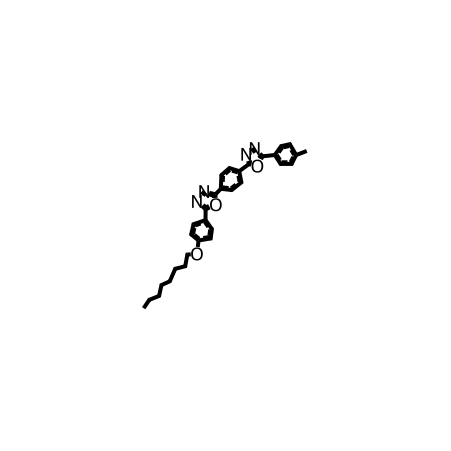 CCCCCCCCOc1ccc(-c2nnc(-c3ccc(-c4nnc(-c5ccc(C)cc5)o4)cc3)o2)cc1